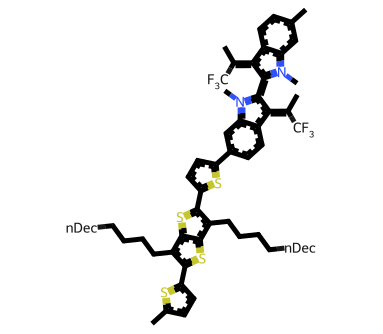 CCCCCCCCCCCCCCc1c(-c2ccc(C)s2)sc2c(CCCCCCCCCCCCCC)c(-c3ccc(-c4ccc5c(=C(/C)C(F)(F)F)/c(=c6/c(=C(/C)C(F)(F)F)c7ccc(C)cc7n6C)n(C)c5c4)s3)sc12